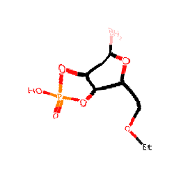 BC1OC(COCC)C2OP(=O)(O)OC12